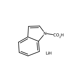 O=C(O)n1ccc2ccccc21.[LiH]